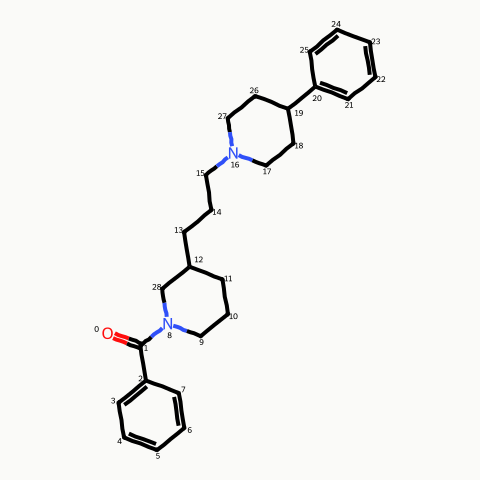 O=C(c1ccccc1)N1CCCC(CCCN2CCC(c3ccccc3)CC2)C1